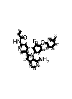 C=CC(=O)Nc1ccc(-c2cc3ncnc(N)c3n2-c2ccc(Oc3cccc(C)n3)c(F)c2)cn1